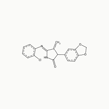 C=S1C(=Nc2ccccc2Cl)NC(=O)C1c1ccc2c(c1)OCO2